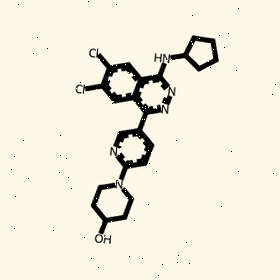 OC1CCN(c2ccc(-c3nnc(NC4CCCC4)c4cc(Cl)c(Cl)cc34)cn2)CC1